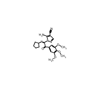 COc1cc(C(=O)/C(=N\C2CCCC2)n2ncc(C#N)c2N)cc(OC)c1OC